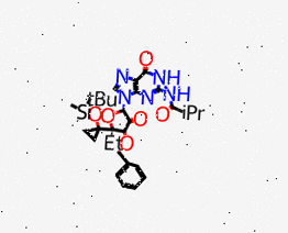 CC[C@]1(C2(O[Si](C)(C)C(C)(C)C)CC2)O[C@@H](n2cnc3c(=O)[nH]c(NC(=O)C(C)C)nc32)C(=O)C1OCc1ccccc1